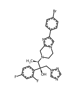 C[C@@H](N1CCn2cc(-c3ccc(Br)cc3)nc2C1)[C@](O)(Cn1cncn1)c1ccc(F)cc1F